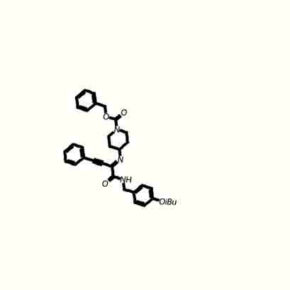 CC(C)COc1ccc(CNC(=O)C(C#Cc2ccccc2)=NC2CCN(C(=O)OCc3ccccc3)CC2)cc1